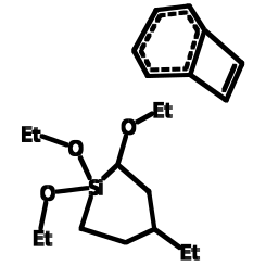 C1=Cc2ccccc21.CCOC1CC(CC)CC[Si]1(OCC)OCC